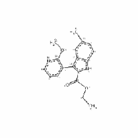 CCOC(=O)c1[nH]c2ccc(C)cc2c1-c1cccnc1OC